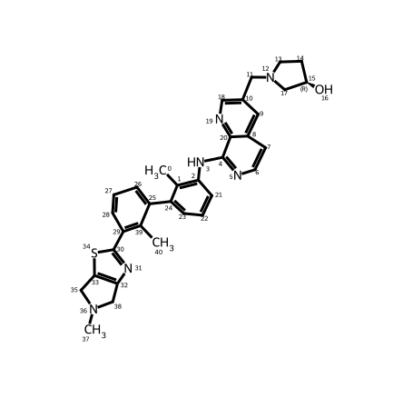 Cc1c(Nc2nccc3cc(CN4CC[C@@H](O)C4)cnc23)cccc1-c1cccc(-c2nc3c(s2)CN(C)C3)c1C